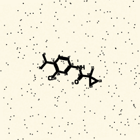 CC(C)c1ccc(NC(=O)C2(C)CC2)cc1Cl